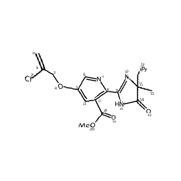 C=C(Cl)COc1cnc(C2=NC(C)(C(C)C)C(=O)N2)c(C(=O)OC)c1